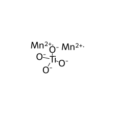 [Mn+2].[Mn+2].[O-][Ti]([O-])([O-])[O-]